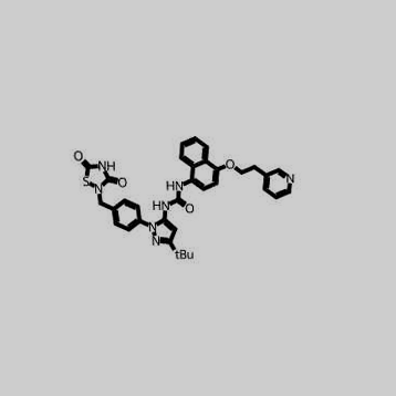 CC(C)(C)c1cc(NC(=O)Nc2ccc(OCCc3cccnc3)c3ccccc23)n(-c2ccc(Cn3sc(=O)[nH]c3=O)cc2)n1